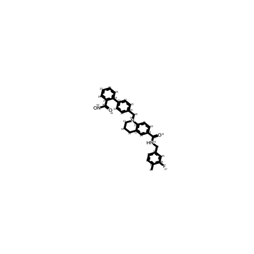 Cc1ccc(CNC(=O)c2ccc3c(c2)CCCN3Cc2ccc(-c3ccccc3C(=O)N=O)cc2)cc1F